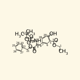 CCOC(=O)c1cc(C[C@H](NC(=O)OC(C)(C)C)C(=O)OCc2ccccc2)ccc1O